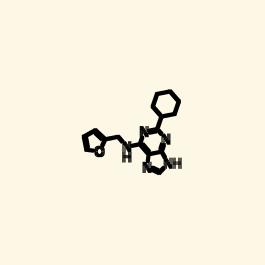 c1coc(CNc2nc(C3CCCCC3)nc3[nH]cnc23)c1